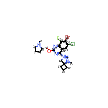 CN1CCC[C@H]1COc1nc(NCC2(N(C)C)CCC2)c2cc(Cl)c(Br)c(F)c2n1